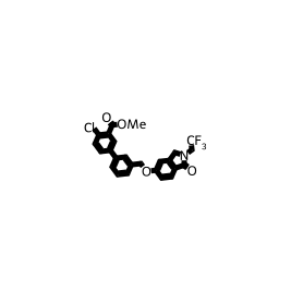 COC(=O)c1cc(-c2cccc(COc3ccc4c(c3)CN(CC(F)(F)F)C4=O)c2)ccc1Cl